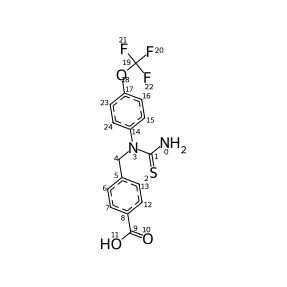 NC(=S)N(Cc1ccc(C(=O)O)cc1)c1ccc(OC(F)(F)F)cc1